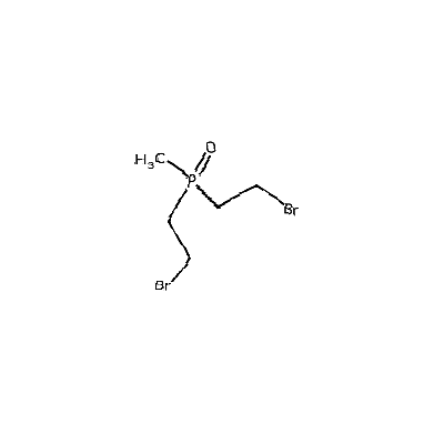 CP(=O)(CCBr)CCBr